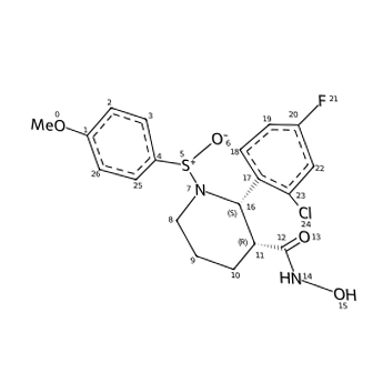 COc1ccc([S+]([O-])N2CCC[C@@H](C(=O)NO)[C@H]2c2ccc(F)cc2Cl)cc1